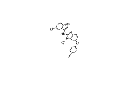 Fc1ccc(Oc2ccc3nc(Nc4c[nH]c5ccc(Cl)cc45)n(C4CC4)c3c2)cc1